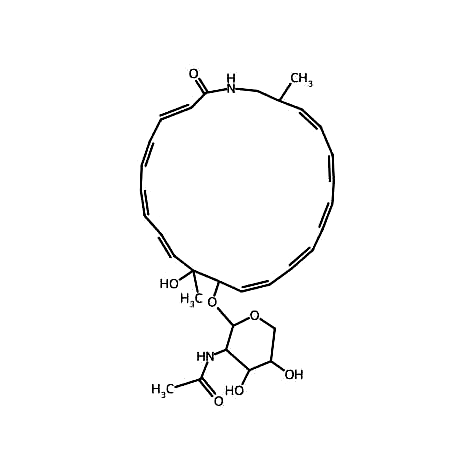 CC(=O)NC1C(OC2\C=C/C=C\C=C/C=C\C=C/C(C)CNC(=O)/C=C/C=C\C=C/C=C/C2(C)O)OCC(O)C1O